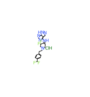 Cl.FC(F)c1ccc(CCN2CC[C@@H](Nc3ncnc4[nH]ncc34)C(F)(F)C2)cc1